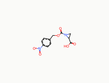 O=C(O)C1CN1C(=O)OCc1ccc([N+](=O)[O-])cc1